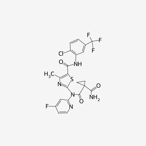 Cc1nc(N(C(=O)C2(C(N)=O)CC2)c2cc(F)ccn2)sc1C(=O)Nc1cc(C(F)(F)F)ccc1Cl